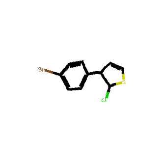 ClC1SC=C[C]1c1ccc(Br)cc1